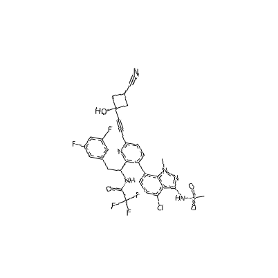 Cn1nc(NS(C)(=O)=O)c2c(Cl)ccc(-c3ccc(C#CC4(O)CC(C#N)C4)nc3C(Cc3cc(F)cc(F)c3)NC(=O)C(F)(F)F)c21